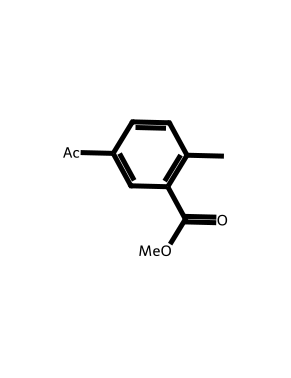 COC(=O)c1cc(C(C)=O)ccc1C